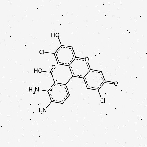 Nc1ccc(-c2c3cc(Cl)c(=O)cc-3oc3cc(O)c(Cl)cc23)c(C(=O)O)c1N